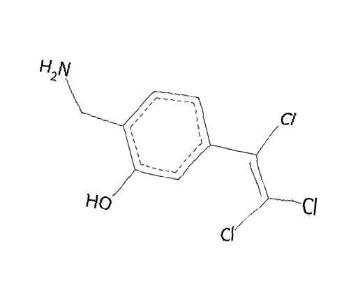 NCc1ccc(C(Cl)=C(Cl)Cl)cc1O